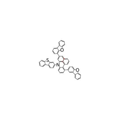 c1ccc(-c2c(-c3ccc4oc5ccccc5c4c3)cccc2N(c2cccc(-c3cccc4c3oc3ccccc34)c2)c2ccc3c(c2)sc2ccccc23)cc1